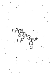 CC[C@H]1CN(c2ncc(N)cc2Cl)CCN1C1CCN([C@H](CO)c2ccc(Cl)cc2)CC1